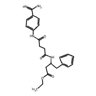 CCOC(=O)CC(Cc1ccccc1)NC(=O)CCC(=O)Nc1ccc(C(=N)N)cc1